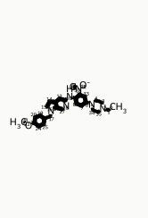 CCN1CCN(c2ccc(Nc3cc4ccn(Cc5ccc(OC)cc5)c4cn3)c([N+](=O)[O-])c2)CC1